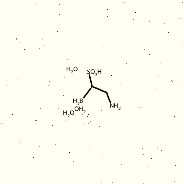 BC(CN)S(=O)(=O)O.O.O.O